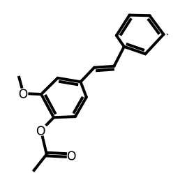 COc1cc(C=Cc2c[c]ccc2)ccc1OC(C)=O